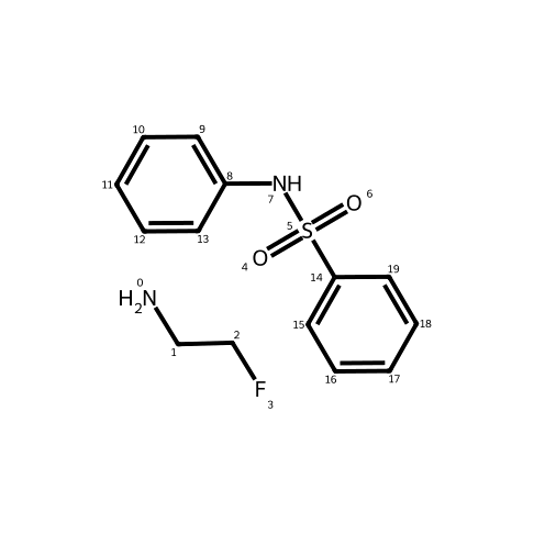 NCCF.O=S(=O)(Nc1ccccc1)c1ccccc1